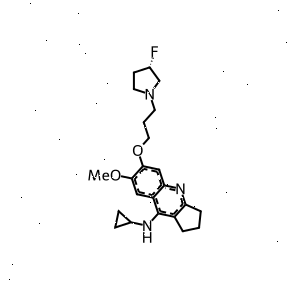 COc1cc2c(NC3CC3)c3c(nc2cc1OCCCN1CC[C@H](F)C1)CCC3